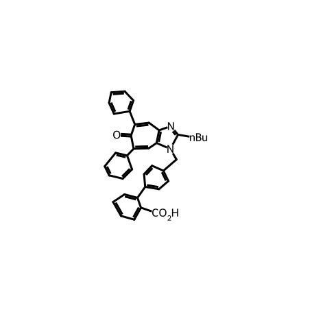 CCCCc1nc2cc(-c3ccccc3)c(=O)c(-c3ccccc3)cc2n1Cc1ccc(-c2ccccc2C(=O)O)cc1